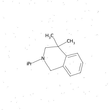 CC(C)N1Cc2ccccc2C(C)(C)C1